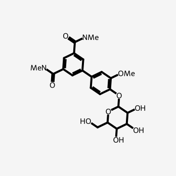 CNC(=O)c1cc(C(=O)NC)cc(-c2ccc(OC3OC(CO)C(O)C(O)C3O)c(OC)c2)c1